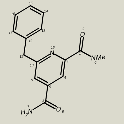 CNC(=O)c1cc(C(N)=O)cc(Cc2ccccc2)n1